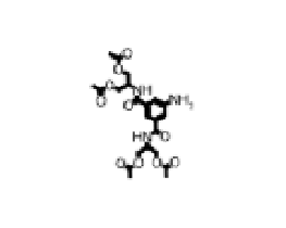 CC(=O)OCC(COC(C)=O)NC(=O)c1cc(N)cc(C(=O)NC(COC(C)=O)COC(C)=O)c1